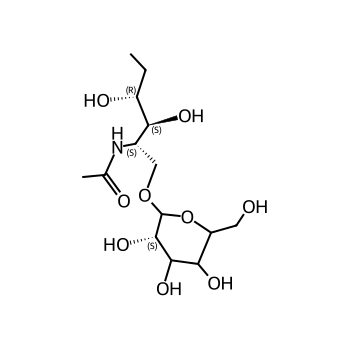 CC[C@@H](O)[C@@H](O)[C@H](COC1OC(CO)C(O)C(O)[C@@H]1O)NC(C)=O